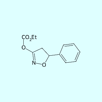 CCOC(=O)OC1=NOC(c2ccccc2)C1